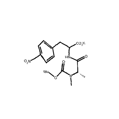 C[C@@H](C(=O)NC(Cc1ccc([N+](=O)[O-])cc1)C(=O)O)N(C)C(=O)OC(C)(C)C